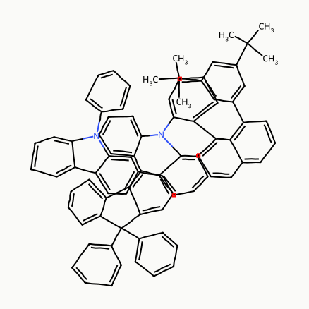 CC(C)(C)c1cc(-c2cccc3cccc(-c4ccccc4N(c4ccccc4-c4ccc5c6ccccc6n(-c6ccccc6)c5c4)c4ccccc4-c4cccc5c4-c4ccccc4C5(c4ccccc4)c4ccccc4)c23)cc(C(C)(C)C)c1